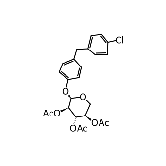 CC(=O)O[C@@H]1[C@@H](OC(C)=O)[C@@H](Oc2ccc(Cc3ccc(Cl)cc3)cc2)OC[C@H]1OC(C)=O